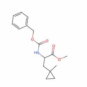 COC(=O)C(CC1(C)CC1)NC(=O)OCc1ccccc1